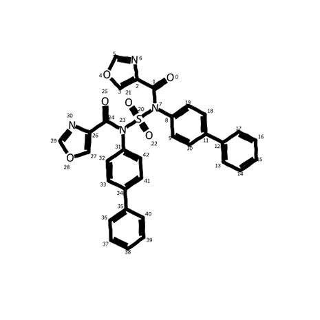 O=C(c1cocn1)N(c1ccc(-c2ccccc2)cc1)S(=O)(=O)N(C(=O)c1cocn1)c1ccc(-c2ccccc2)cc1